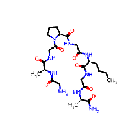 CCCC[C@H](NC(=O)CNC(=O)[C@@H]1CCCN1C(=O)CNC(=O)[C@H](C)NC(=O)CN)C(=O)NCC(=O)N[C@@H](C)C(N)=O